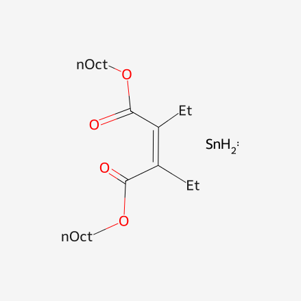 CCCCCCCCOC(=O)/C(CC)=C(/CC)C(=O)OCCCCCCCC.[SnH2]